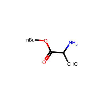 CCCCOC(=O)C(N)C=O